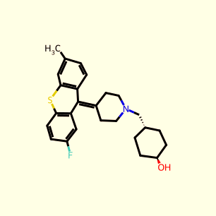 Cc1ccc2c(c1)Sc1ccc(F)cc1C2=C1CCN(C[C@H]2CC[C@H](O)CC2)CC1